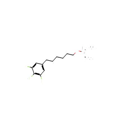 CO[SiH](OC)OCCCCCCc1cc(F)c(F)c(F)c1